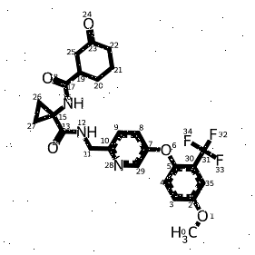 COc1ccc(Oc2ccc(CNC(=O)C3(NC(=O)C4CCCC(=O)C4)CC3)nc2)c(C(F)(F)F)c1